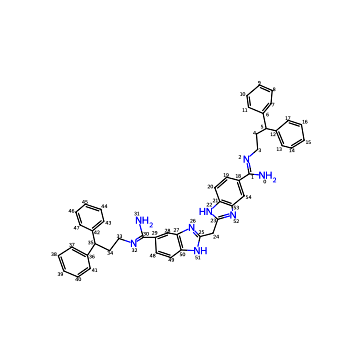 NC(=NCCC(c1ccccc1)c1ccccc1)c1ccc2[nH]c(Cc3nc4cc(C(N)=NCCC(c5ccccc5)c5ccccc5)ccc4[nH]3)nc2c1